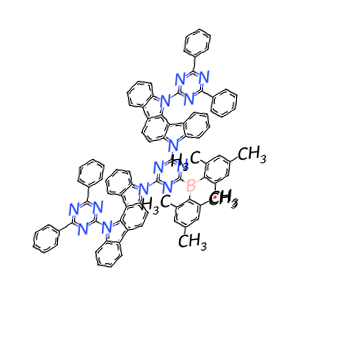 Cc1cc(C)c(B(c2nc(-n3c4ccccc4c4c3ccc3c5ccccc5n(-c5nc(-c6ccccc6)nc(-c6ccccc6)n5)c34)nc(-n3c4ccccc4c4c3ccc3c5ccccc5n(-c5nc(-c6ccccc6)nc(-c6ccccc6)n5)c34)n2)c2c(C)cc(C)cc2C)c(C)c1